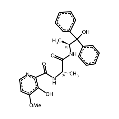 COc1ccnc(C(=O)N[C@@H](C)C(=O)N[C@@H](C)C(O)(c2ccccc2)c2ccccc2)c1O